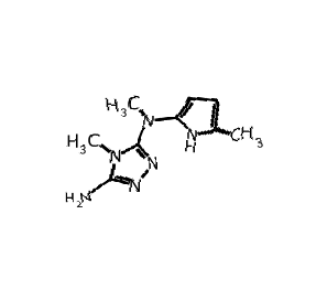 Cc1ccc(N(C)c2nnc(N)n2C)[nH]1